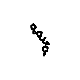 FC(=CC1(c2ccc(F)cc2)CC1)Cc1cccc(Oc2ccccc2)c1